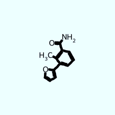 Cc1c(C(N)=O)cccc1-c1ccco1